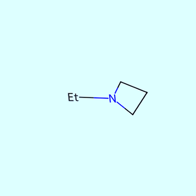 CCN1CCC1